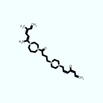 C=C/C=C(Cl)\C=C/CN1CCN(CCCC(=O)N2CCCN(/C(N)=C/C=C(\C=C)C(F)(F)F)CC2)CC1